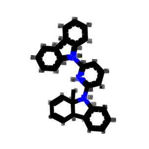 CC12C=CC=CC1c1ccccc1N2c1cccc(-n2c3ccccc3c3ccccc32)n1